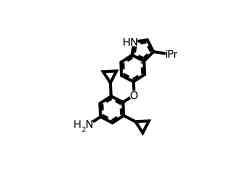 CC(C)c1c[nH]c2ccc(Oc3c(C4CC4)cc(N)cc3C3CC3)cc12